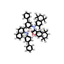 Cc1cc2c(cc1N1c3cc(-c4ccccc4)cc4c3B(c3oc5cc6c(cc5c31)C(C)(C)CCC6(C)C)N(c1ccc(-c3ccccc3)cc1)c1c-4ccc3ccccc13)C(C)(C)CCC2(C)C